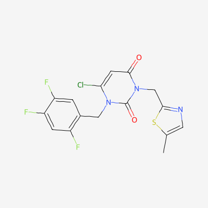 Cc1cnc(Cn2c(=O)cc(Cl)n(Cc3cc(F)c(F)cc3F)c2=O)s1